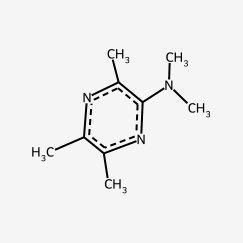 Cc1nc(C)c(N(C)C)nc1C